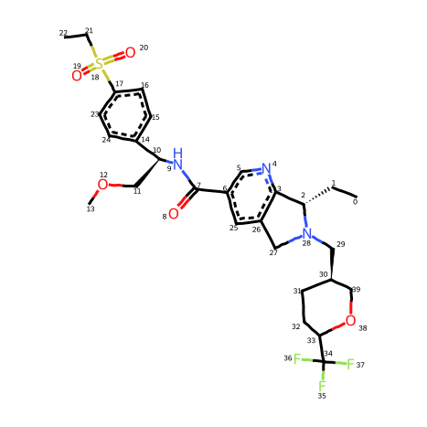 CC[C@H]1c2ncc(C(=O)N[C@@H](COC)c3ccc(S(=O)(=O)CC)cc3)cc2CN1C[C@@H]1CCC(C(F)(F)F)OC1